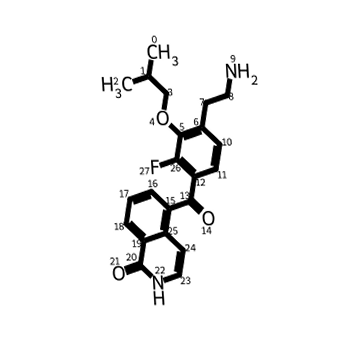 CC(C)COc1c(CCN)ccc(C(=O)c2cccc3c(=O)[nH]ccc23)c1F